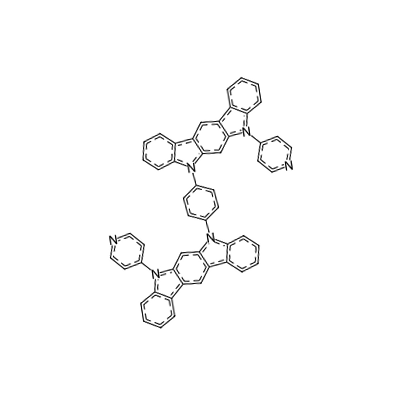 c1ccc2c(c1)c1cc3c4ccccc4n(-c4ccc(-n5c6ccccc6c6cc7c8ccccc8n(-c8ccncc8)c7cc65)cc4)c3cc1n2-c1ccncc1